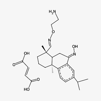 CC(C)c1ccc2c(c1)C(=NO)CC1[C@@](C)(C=NOCCN)CCC[C@]21C.O=C(O)/C=C/C(=O)O